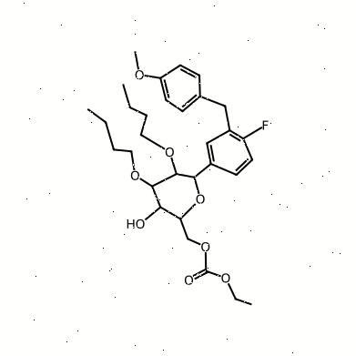 CCCCOC1C(c2ccc(F)c(Cc3ccc(OC)cc3)c2)OC(COC(=O)OCC)C(O)C1OCCCC